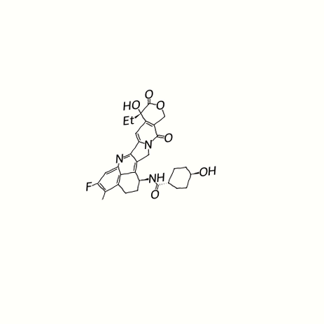 CC[C@@]1(O)C(=O)OCc2c1cc1n(c2=O)Cc2c-1nc1cc(F)c(C)c3c1c2[C@@H](NC(=O)[C@H]1CC[C@H](O)CC1)CC3